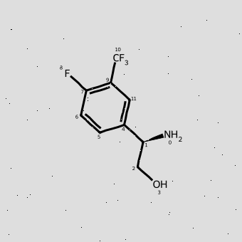 N[C@@H](CO)c1ccc(F)c(C(F)(F)F)c1